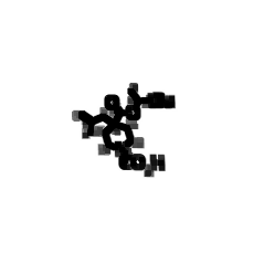 C=C(C)CC1(C(=O)OC(C)C(C)(C)C)CCN(C(=O)O)CC1